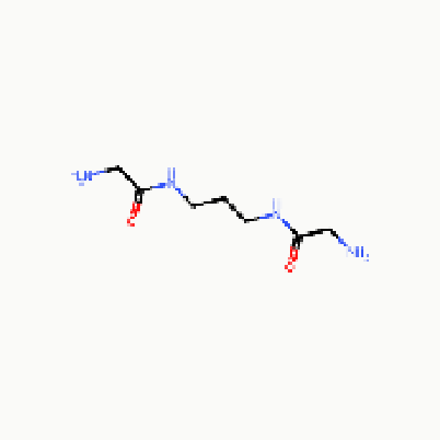 NCC(=O)NCCCNC(=O)CN